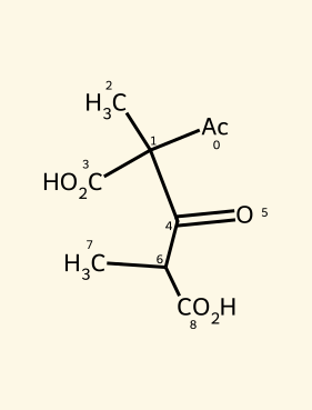 CC(=O)C(C)(C(=O)O)C(=O)C(C)C(=O)O